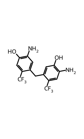 Nc1cc(C(F)(F)F)c(Cc2cc(N)c(O)cc2C(F)(F)F)cc1O